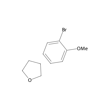 C1CCOC1.COc1ccccc1Br